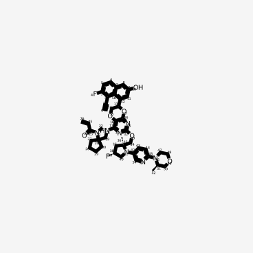 C#Cc1c(F)ccc2cc(O)cc(C3COc4c(NCC5(N(C)C(=O)C=C)CCCC5)nc(OC[C@]5(C)C[C@@H](F)CN5c5ccc(N6CCOC[C@H]6C)nc5)nc4O3)c12